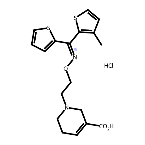 Cc1ccsc1/C(=N/OCCN1CCC=C(C(=O)O)C1)c1cccs1.Cl